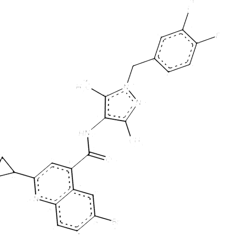 Cc1nn(Cc2ccc(F)c(F)c2)c(C)c1NC(=O)c1cc(C2CC2)nc2ccc(Br)cc12